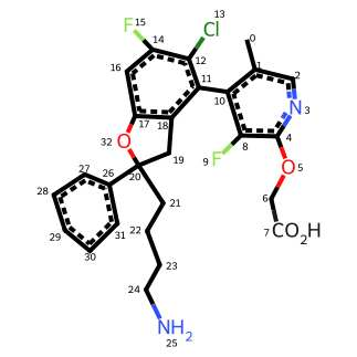 Cc1cnc(OCC(=O)O)c(F)c1-c1c(Cl)c(F)cc2c1CC(CCCCN)(c1ccccc1)O2